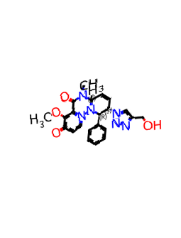 COc1c2n(ccc1=O)N1[C@H](c3ccccc3)[C@@H](n3cc(CO)nn3)C=C[C@H]1N(C)C2=O